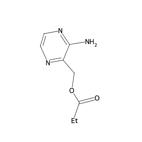 CCC(=O)OCc1nccnc1N